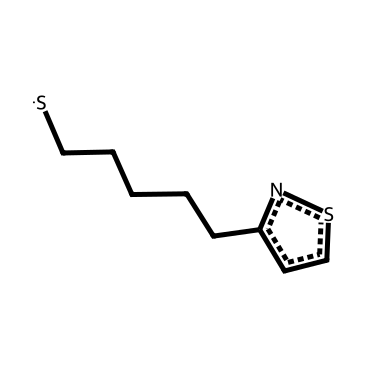 [S]CCCCCc1ccsn1